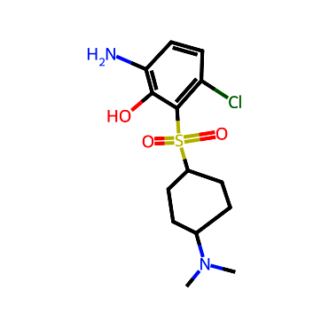 CN(C)C1CCC(S(=O)(=O)c2c(Cl)ccc(N)c2O)CC1